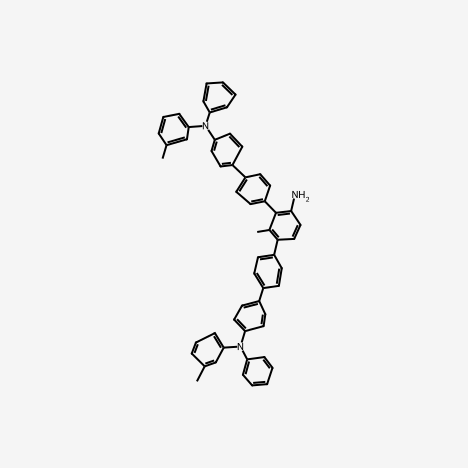 Cc1cccc(N(c2ccccc2)c2ccc(-c3ccc(-c4ccc(N)c(-c5ccc(-c6ccc(N(c7ccccc7)c7cccc(C)c7)cc6)cc5)c4C)cc3)cc2)c1